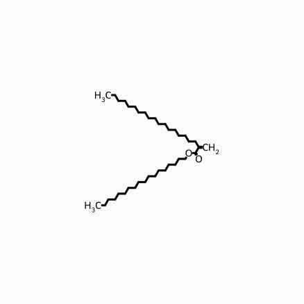 C=C(CCCCCCCCCCCCCCCCCC)C(=O)OCCCCCCCCCCCCCCCCCC